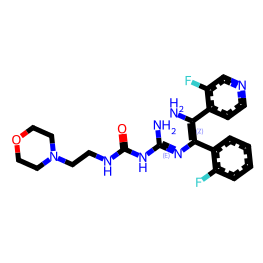 N/C(=C(\N=C(/N)NC(=O)NCCN1CCOCC1)c1ccccc1F)c1ccncc1F